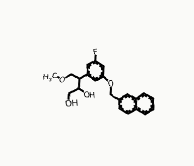 COCC(c1cc(F)cc(OCc2ccc3ccccc3c2)c1)C(O)CO